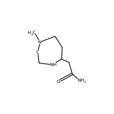 CN1CCNC(CC(N)=O)CC1